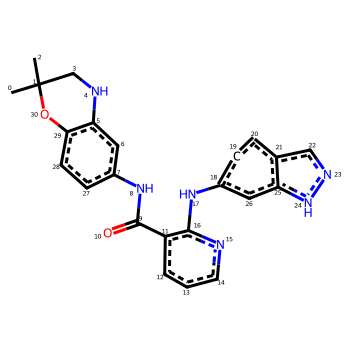 CC1(C)CNc2cc(NC(=O)c3cccnc3Nc3ccc4cn[nH]c4c3)ccc2O1